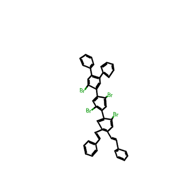 Brc1cc(-c2cc(-c3ccccc3)c(-c3ccccc3)cc2Br)c(Br)cc1-c1cc(/C=C/c2ccccc2)c(/C=C/c2ccccc2)cc1Br